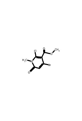 COC(=O)c1c(Br)cc(=O)n(C)c1Cl